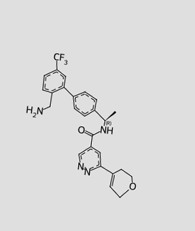 C[C@@H](NC(=O)c1cnnc(C2=CCOCC2)c1)c1ccc(-c2cc(C(F)(F)F)ccc2CN)cc1